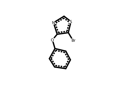 Brc1scnc1Oc1ccccc1